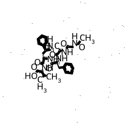 CC(=O)NCC(=O)N[C@@H](C)C(=O)N[C@@H](Cc1ccccc1)C(=O)N[C@@H](Cc1c[nH]c2ccccc12)C(=O)N[C@H](C(=O)O)C(C)C